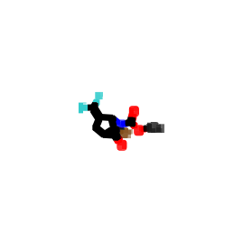 CC(C)(C)OC(=O)N1C(=O)C2CC(=C(F)F)C1C2Br